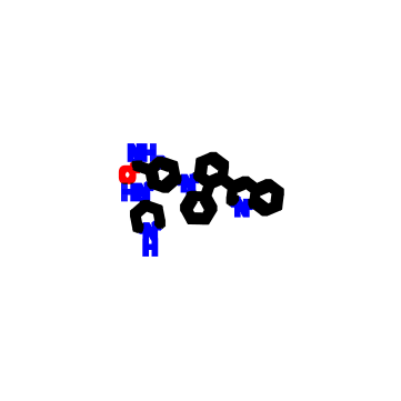 NC(=O)c1ccc(-n2c3ccccc3c3c(-c4cnc5ccccc5c4)cccc32)cc1NC1CCNCC1